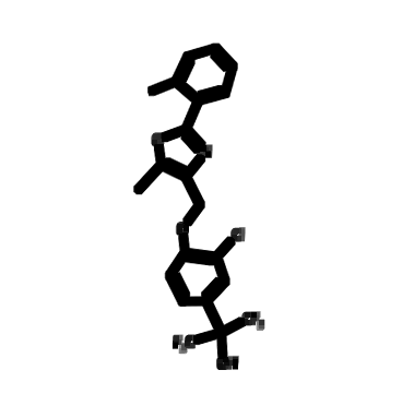 Cc1ccccc1-c1nc(COc2ccc(C(O)(C(F)(F)F)C(F)(F)F)cc2Cl)c(C)o1